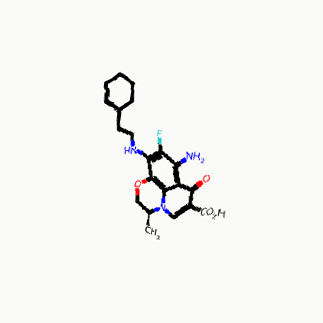 C[C@H]1COc2c(NCCC3CCCCC3)c(F)c(N)c3c(=O)c(C(=O)O)cn1c23